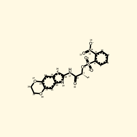 C[C@@H](OS(=O)(=O)c1ccccc1[N+](=O)[O-])C(=O)Nc1nc2cc3c(cc2s1)OCCO3